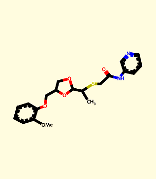 COc1ccccc1OCC1COC(C(C)SCC(=O)Nc2cccnc2)O1